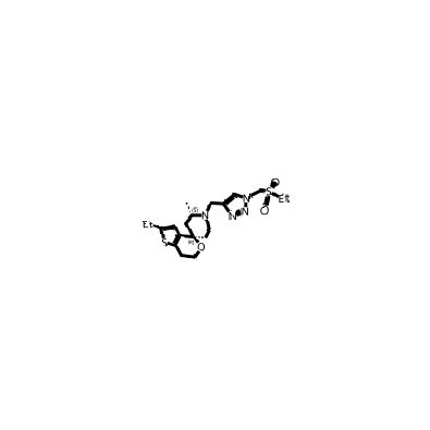 CCc1cc2c(s1)CCO[C@@]21CCN(Cc2cn(CS(=O)(=O)CC)nn2)[C@@H](C)C1